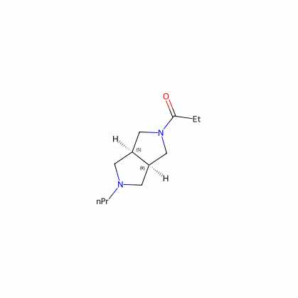 CCCN1C[C@@H]2CN(C(=O)CC)C[C@@H]2C1